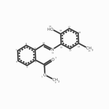 COC(=O)c1ccccc1C=Nc1cc(C)ccc1O